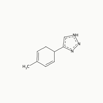 CC1=CCC(c2c[nH]nn2)C=C1